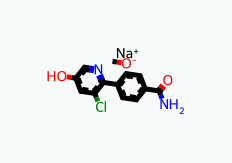 C[O-].NC(=O)c1ccc(-c2ncc(O)cc2Cl)cc1.[Na+]